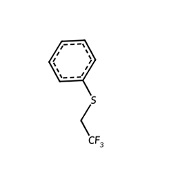 FC(F)(F)CSc1ccccc1